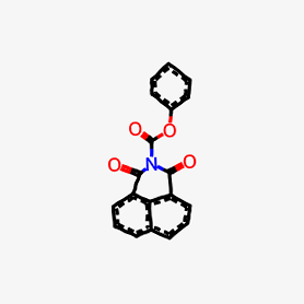 O=C(Oc1ccccc1)N1C(=O)c2cccc3cccc(c23)C1=O